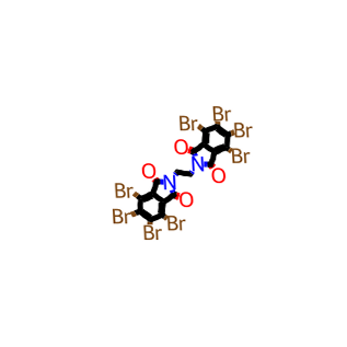 O=C1c2c(Br)c(Br)c(Br)c(Br)c2C(=O)N1CCN1C(=O)c2c(Br)c(Br)c(Br)c(Br)c2C1=O